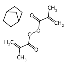 C1CC2CCC1C2.C=C(C)C(=O)OOC(=O)C(=C)C